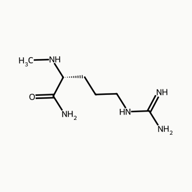 CN[C@H](CCCNC(=N)N)C(N)=O